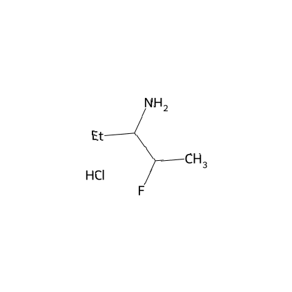 CCC(N)C(C)F.Cl